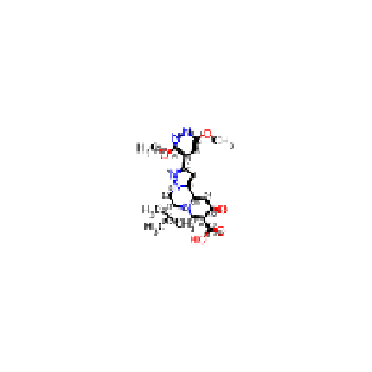 COc1cc(-c2cc3n(n2)C[C@@H](C(C)(C)C)n2cc(C(=O)O)c(=O)cc2-3)c(OC)nn1